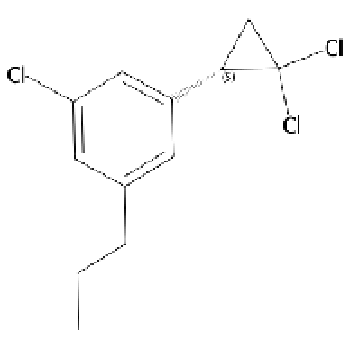 CCCc1cc(Cl)cc([C@@H]2CC2(Cl)Cl)c1